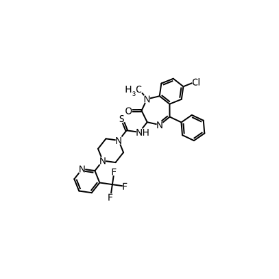 CN1C(=O)C(NC(=S)N2CCN(c3ncccc3C(F)(F)F)CC2)N=C(c2ccccc2)c2cc(Cl)ccc21